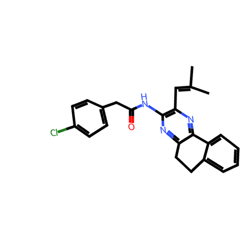 CC(C)=Cc1nc2c(nc1NC(=O)Cc1ccc(Cl)cc1)CCc1ccccc1-2